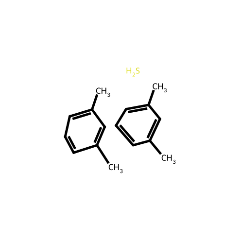 Cc1cccc(C)c1.Cc1cccc(C)c1.S